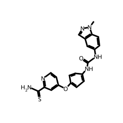 Cn1ncc2cc(NC(=O)Nc3ccc(Oc4ccnc(C(N)=S)c4)cc3)ccc21